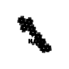 CC1(C)c2cc(-c3ccc4cc(-c5c6ccccc6c(-c6ccccc6)c6ccccc56)ccc4c3)ccc2-c2ccc3c(sc4ccc5ccccc5c43)c21